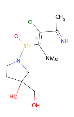 CN/C(=C(/Cl)C(C)=N)[S+]([O-])N1CCC(O)(CO)C1